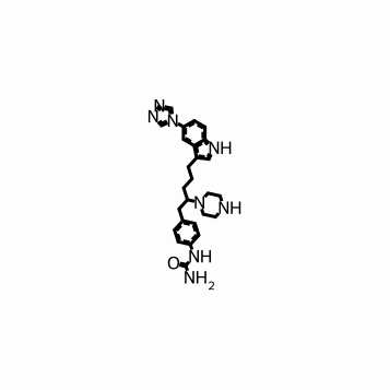 NC(=O)Nc1ccc(CC(CCCc2c[nH]c3ccc(-n4cnnc4)cc23)N2CCNCC2)cc1